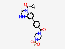 C[C@H]1CNc2cc(-c3ccc(C(=O)N4CCN(S(C)(=O)=O)CC4)cc3)ccc2N1C(=O)C1CC1